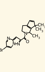 CC1C2=C(C=CC2(C)C)CCN1C(=O)c1cc2ncc(Br)cn2n1